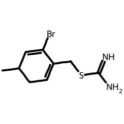 CC1C=C(Br)C(CSC(=N)N)=CC1